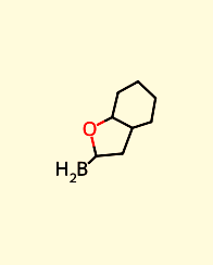 BC1CC2CCCCC2O1